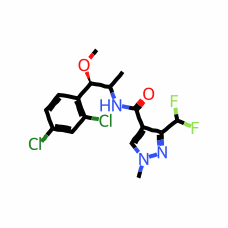 CO[C@H](c1ccc(Cl)cc1Cl)C(C)NC(=O)c1cn(C)nc1C(F)F